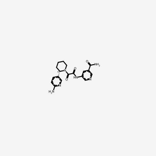 NC(=O)c1cncc(NC(=O)C(=O)N2CCCC[C@H]2c2ccc(N)nc2)c1